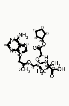 CC(Cn1cnc2c(N)ncnc21)OCP(=O)(NC(C)(C)C(=O)O)OCC(=O)OC1CCCC1